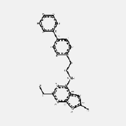 CCc1nc(NCCc2ccc(-c3ccccc3)cc2)c2cc(C)sc2n1